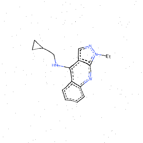 CCn1ncc2c(NCC3CC3)c3ccccc3nc21